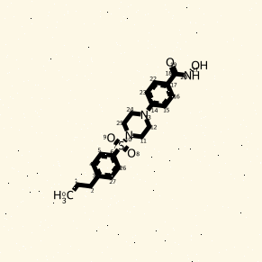 CCCc1ccc(S(=O)(=O)N2CCN(c3ccc(C(=O)NO)cc3)CC2)cc1